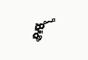 ClCCCOc1ccc2c(Nc3ccnc4c3OCO4)ncnc2c1